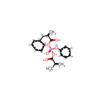 C=C(C)C(=O)OP(=O)(OC(=O)C(=C)Cc1ccccc1)Oc1ccccc1